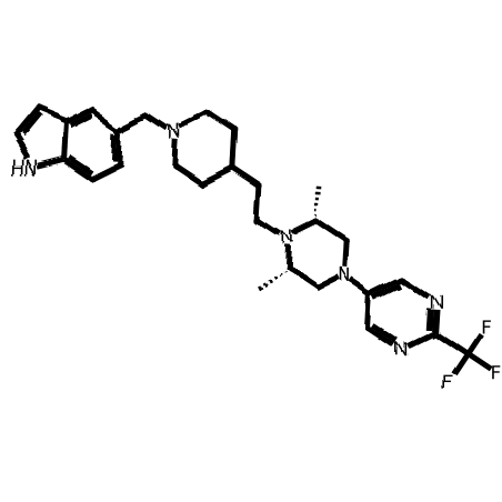 C[C@@H]1CN(c2cnc(C(F)(F)F)nc2)C[C@H](C)N1CCC1CCN(Cc2ccc3[nH]ccc3c2)CC1